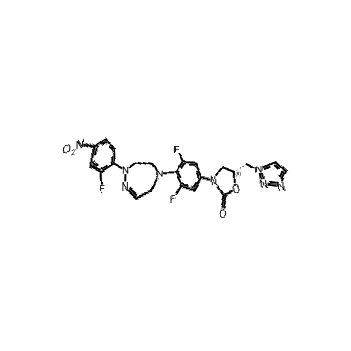 O=C1O[C@@H](Cn2ccnn2)CN1c1cc(F)c(N2CC=NN(c3ccc([N+](=O)[O-])cc3F)CC2)c(F)c1